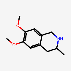 COc1cc2c(cc1OC)CC(C)N[C]2